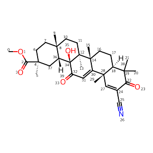 COC(=O)[C@@]1(C)CC[C@]2(C)CC[C@@]3(C)[C@]4(C)CC[C@H]5C(C)(C)C(=O)C(C#N)=C[C@]5(C)C4=CC(=O)[C@]3(O)[C@@H]2C1